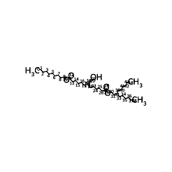 CCCCCCCCCCOC(=O)CCCCCN(CCO)CCCCCC(=O)OCCC(CCCCCC)CCCCCC